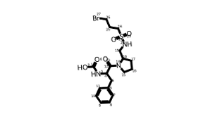 O=C(O)NC(Cc1ccccc1)C(=O)N1CCCC1CNS(=O)(=O)CCCBr